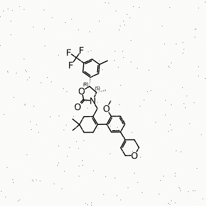 COc1ccc(C2=CCOCC2)cc1C1=C(CN2C(=O)O[C@H](c3cc(C)cc(C(F)(F)F)c3)[C@@H]2C)CC(C)(C)CC1